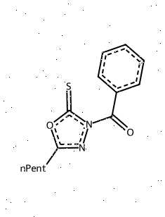 CCCCCc1nn(C(=O)c2ccccc2)c(=S)o1